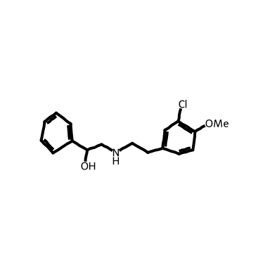 COc1ccc(CCNCC(O)c2ccccc2)cc1Cl